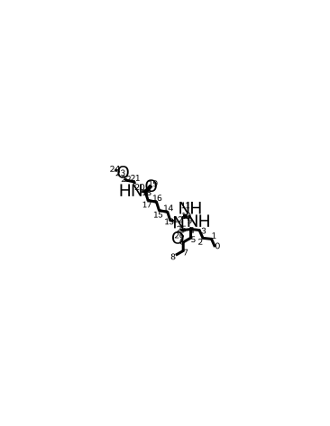 CCCCC1(CCCC)NC(=N)N(CCCCCC(=O)NCCOC)C1=O